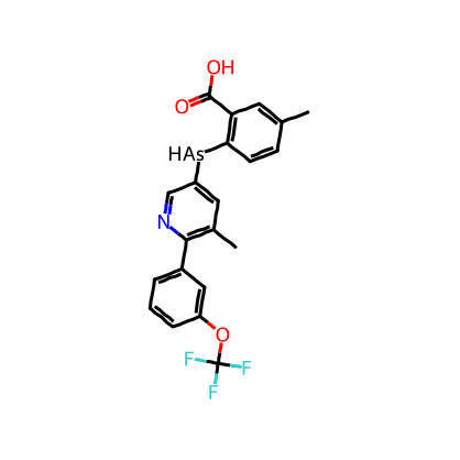 Cc1ccc([AsH]c2cnc(-c3cccc(OC(F)(F)F)c3)c(C)c2)c(C(=O)O)c1